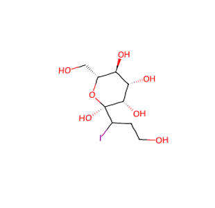 OCCC(I)[C@@]1(O)O[C@H](CO)[C@@H](O)[C@H](O)[C@@H]1O